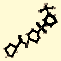 O=C(N[C@H]1CC[C@H](S(=O)(=O)c2cccc(C(F)(F)F)c2)CC1)C1CCOCC1